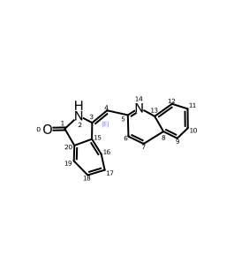 O=C1N/C(=C/c2ccc3ccccc3n2)c2ccccc21